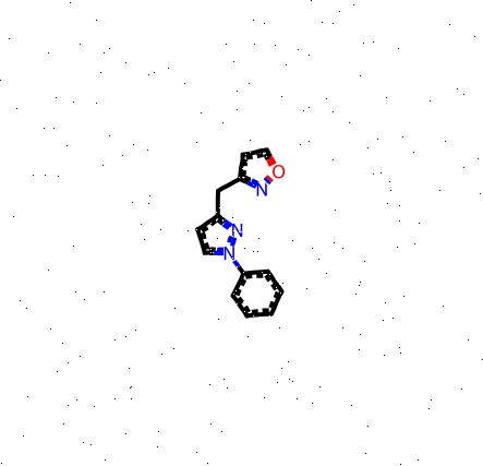 c1ccc(-n2ccc(Cc3ccon3)n2)cc1